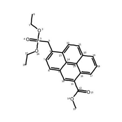 CCOP(=O)(Cc1ccc2cc(C(=O)OC)c3cccc4ccc1c2c43)OCC